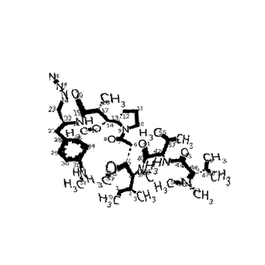 CC[C@H](C)[C@@H]([C@@H](CC(=O)N1CCC[C@H]1[C@H](OC)[C@@H](C)C(=O)N[C@H](CN=[N+]=[N-])Cc1ccc(NC)cc1)OC)N(C)C(=O)[C@@H](NC(=O)[C@H](C(C)C)N(C)C)C(C)C